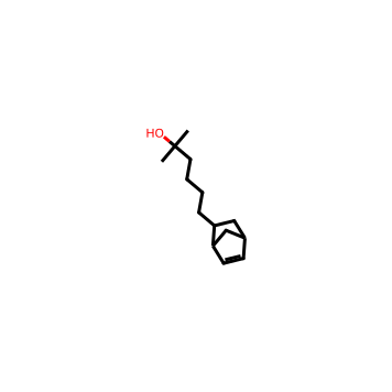 CC(C)(O)CCCCC1CC2C=CC1C2